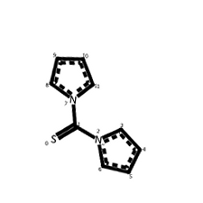 S=C(n1cccc1)n1cccc1